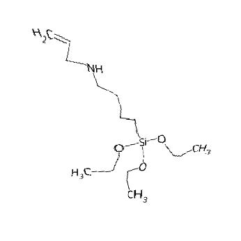 C=CCNCCCC[Si](OCC)(OCC)OCC